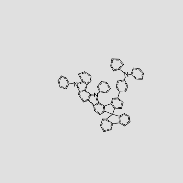 c1ccc(N(c2ccccc2)c2ccc(-c3ccc4c(c3)-c3c(ccc5c6ccc7c(c8ccccc8n7-c7ccccc7)c6n(-c6ccccc6)c35)C43c4ccccc4-c4ccccc43)cc2)cc1